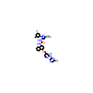 CCc1cncc(Nc2cc(COc3ccc(NC(=O)Nc4cc(C(C)(C)C)nn4-c4cc(C)cc(F)c4)c4ccccc34)ccn2)n1